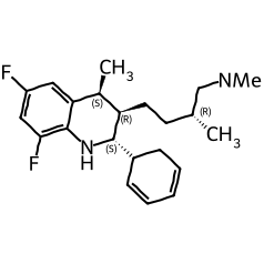 CNC[C@H](C)CC[C@@H]1[C@H](C)c2cc(F)cc(F)c2N[C@H]1C1C=CC=CC1